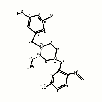 C=Nc1ccc(C(F)(F)F)cc1SN1CCN(Cc2cc(C)cc(O)c2)[C@@H](CC(C)C)C1